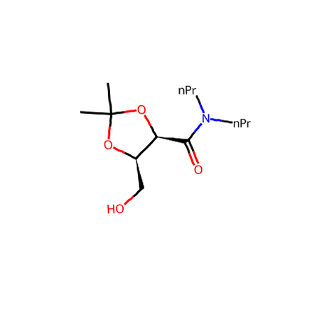 CCCN(CCC)C(=O)[C@@H]1OC(C)(C)O[C@@H]1CO